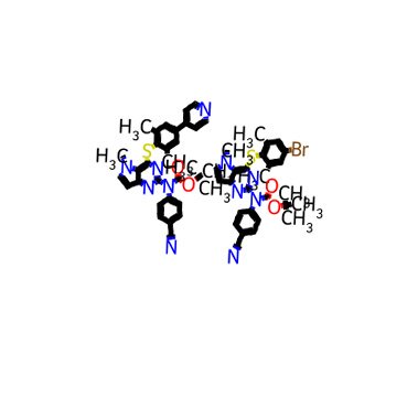 Cc1cc(-c2ccncc2)cc(C)c1Sc1nc(N(C(=O)OC(C)(C)C)c2ccc(C#N)cc2)nc2ccn(C)c12.Cc1cc(Br)cc(C)c1Sc1nc(N(C(=O)OC(C)(C)C)c2ccc(C#N)cc2)nc2ccn(C)c12